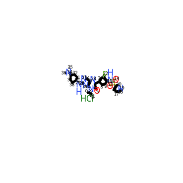 CC(C)n1c(=O)c(-c2ccc(NS(=O)(=O)c3cccnc3)c(F)c2)nc2cnc(NC3CCC(N(C)C)CC3)nc21.Cl